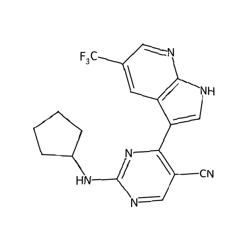 N#Cc1cnc(NC2CCCC2)nc1-c1c[nH]c2ncc(C(F)(F)F)cc12